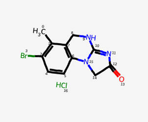 Cc1c(Br)ccc2c1CNC1=NC(=O)CN12.Cl